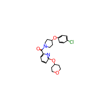 O=C(c1cccc(OC2CCOCC2)n1)N1CCC(Oc2ccc(Cl)cc2)CC1